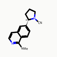 CNc1nccc2cc([C@@H]3CCCN3C#N)ccc12